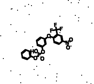 O=[N+]([O-])c1ccc(Oc2cccc(OP(=O)(O)Oc3ccccc3)c2)c(C(F)(F)F)c1